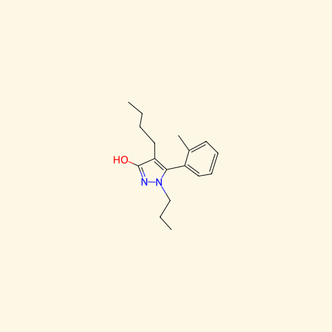 CCCCc1c(O)nn(CCC)c1-c1ccccc1C